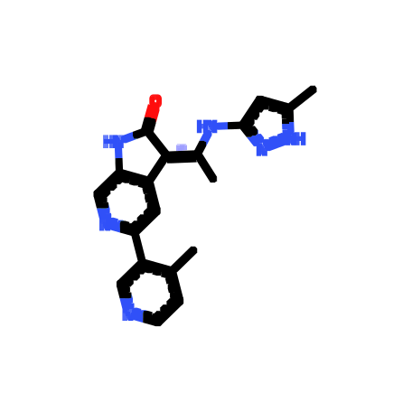 C/C(Nc1cc(C)[nH]n1)=C1/C(=O)Nc2cnc(-c3cnccc3C)cc21